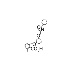 Cc1cccc(CO[C@@H]2CCCC(OCc3coc(C4CCCCC4)n3)C2)c1C(=O)O